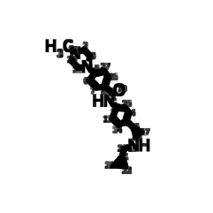 CN1CCN(c2ccc(C(=O)Nc3ccc(C4CC4NCC4CC4)cc3)cc2)CC1